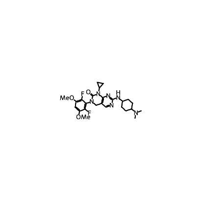 COc1cc(OC)c(F)c(N2Cc3cnc(NC4CCC(N(C)C)CC4)nc3N(C3CC3)C2=O)c1F